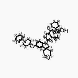 O=C(NC1(C(=O)O)CCCCC1)c1cnc(N2CC3(CCOCC3)c3cc(OC4CCN(c5ncccn5)CC4)ccc32)nc1C(F)(F)F